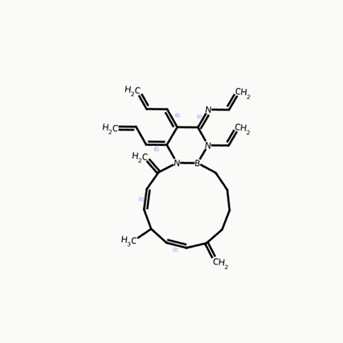 C=C/C=C1C(=N/C=C)/N(C=C)B2CCCCC(=C)/C=C\C(C)/C=C\C(=C)N2C/1=C/C=C